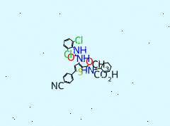 C[C@@](NC(=O)c1sc(-c2ccc(C#N)cc2)cc1NC(=O)Nc1c(Cl)cccc1Cl)(C(=O)O)C1CCCCC1